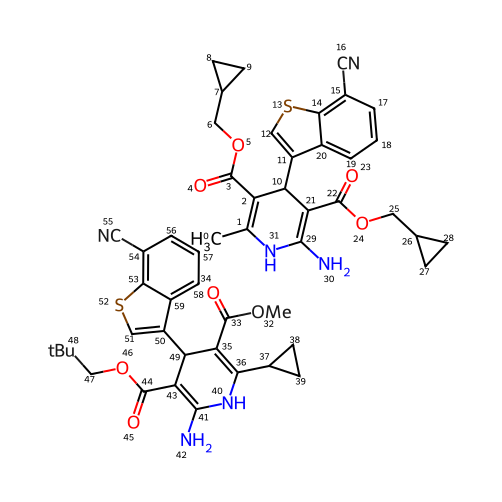 CC1=C(C(=O)OCC2CC2)C(c2csc3c(C#N)cccc23)C(C(=O)OCC2CC2)=C(N)N1.COC(=O)C1=C(C2CC2)NC(N)=C(C(=O)OCC(C)(C)C)C1c1csc2c(C#N)cccc12